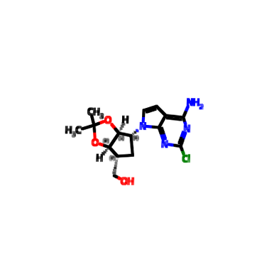 CC1(C)O[C@@H]2[C@@H](CO)C[C@@H](n3ccc4c(N)nc(Cl)nc43)[C@@H]2O1